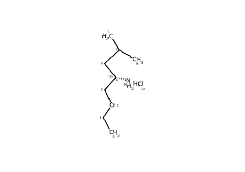 CCOC[C@@H](N)CC(C)C.Cl